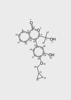 CC(C)(O)c1oc(=O)c2ccccc2c1-c1ccc(OCC2CC2)c(O)c1